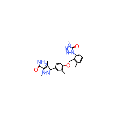 Cc1cc(-c2nn(C)c(C(N)=O)c2C)ccc1OCc1c(C)cccc1-n1nnn(C)c1=O